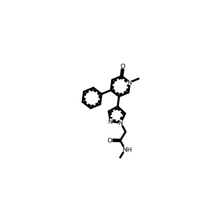 CNC(=O)Cn1cc(-c2cn(C)c(=O)cc2-c2ccccc2)cn1